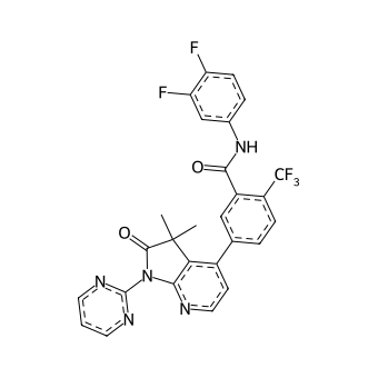 CC1(C)C(=O)N(c2ncccn2)c2nccc(-c3ccc(C(F)(F)F)c(C(=O)Nc4ccc(F)c(F)c4)c3)c21